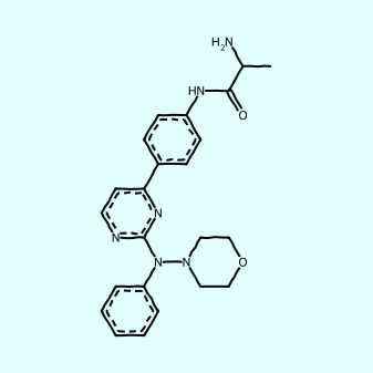 CC(N)C(=O)Nc1ccc(-c2ccnc(N(c3ccccc3)N3CCOCC3)n2)cc1